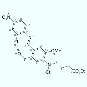 CCOC(=O)CCCN(CC)c1cc(CO)c(N=Nc2ccc([N+](=O)[O-])cc2Cl)cc1OC